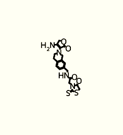 NC1=C(N2CCc3ccc(CNC(=O)CN4C(=O)CSC4=S)cc3C2)C(=O)OC1